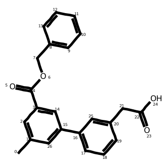 Cc1cc(C(=O)OCc2ccccc2)cc(-c2cccc(CC(=O)O)c2)c1